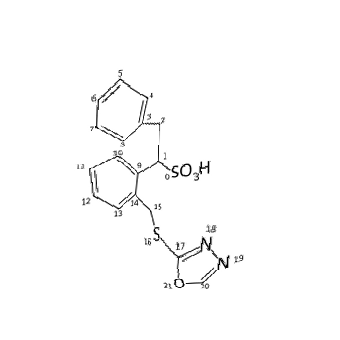 O=S(=O)(O)C(Cc1ccccc1)c1ccccc1CSc1nnco1